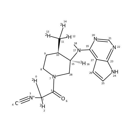 [2H]C([2H])([N+]#[C-])C(=O)N1CC[C@@H](C([2H])([2H])[2H])[C@@]([2H])(N(C)c2ncnc3[nH]ccc23)C1